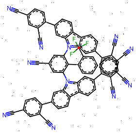 N#Cc1ccc(-c2ccc3c4ccc(-c5ccc(C#N)cc5C#N)cc4n(-c4cc(C#N)cc(-n5c6cc(-c7ccc(C#N)cc7C#N)ccc6c6ccc(-c7ccc(C#N)cc7C#N)cc65)c4-c4ccccc4C(F)(F)F)c3c2)c(C#N)c1